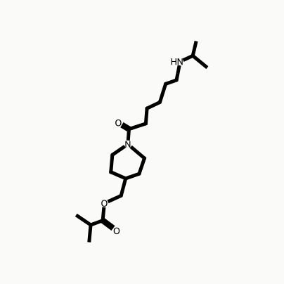 CC(C)NCCCCCC(=O)N1CCC(COC(=O)C(C)C)CC1